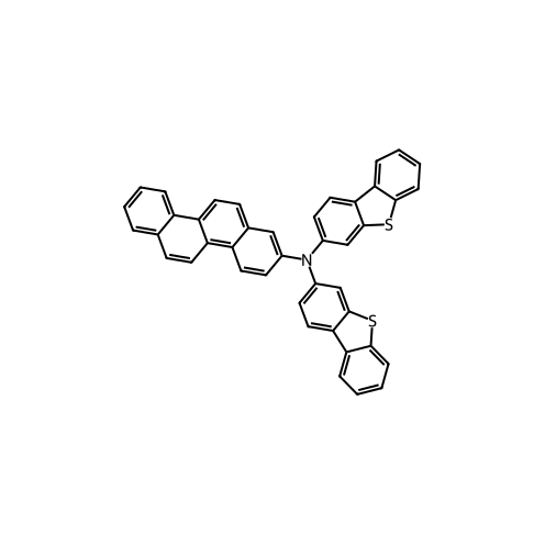 c1ccc2c(c1)ccc1c3ccc(N(c4ccc5c(c4)sc4ccccc45)c4ccc5c(c4)sc4ccccc45)cc3ccc21